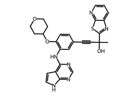 CC(O)(C#Cc1ccc(OC2CCOCC2)c(Nc2ncnc3[nH]ccc23)c1)c1nc2cccnc2s1